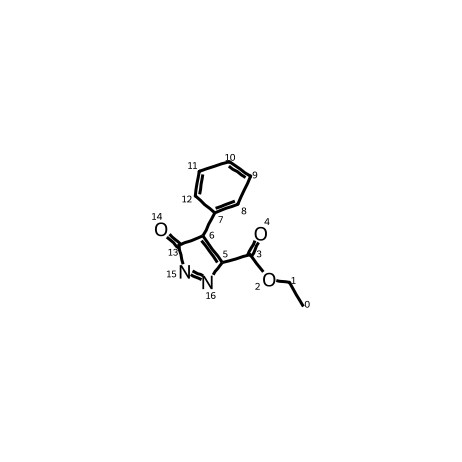 CCOC(=O)C1=C(c2ccccc2)C(=O)N=N1